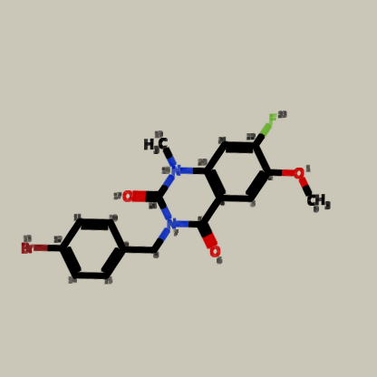 COc1cc2c(=O)n(Cc3ccc(Br)cc3)c(=O)n(C)c2cc1F